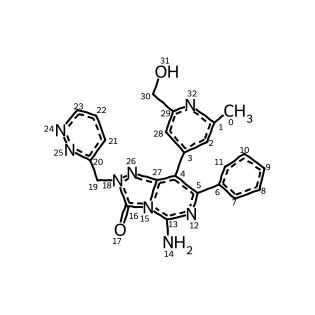 Cc1cc(-c2c(-c3ccccc3)nc(N)n3c(=O)n(Cc4cccnn4)nc23)cc(CO)n1